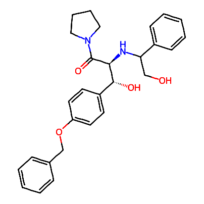 O=C([C@@H](NC(CO)c1ccccc1)[C@H](O)c1ccc(OCc2ccccc2)cc1)N1CCCC1